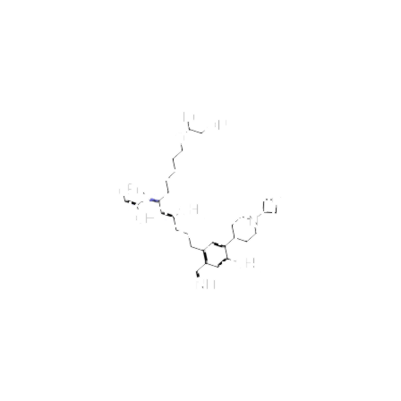 CCC\C=C(C)/N=C(\C=C(/C)CCCc1cc(C2CCN(C3COC3)CC2)c(C)cc1C=N)CCCCCOC(CC)CO